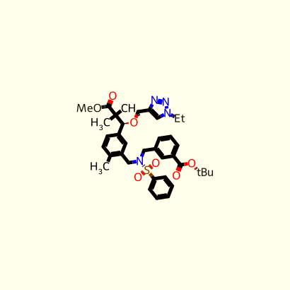 CCn1cc(CO[C@H](c2ccc(C)c(CN(Cc3cccc(C(=O)OC(C)(C)C)c3)S(=O)(=O)c3ccccc3)c2)C(C)(C)C(=O)OC)nn1